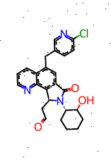 O=CCC1c2c(cc(Cc3ccc(Cl)nc3)c3cccnc23)C(=O)N1[C@H]1CCCC[C@@H]1O